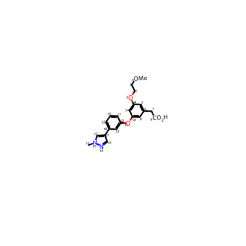 COCCOc1cc(CC(=O)O)cc(Oc2cccc(-c3cnn(C)c3)c2)c1